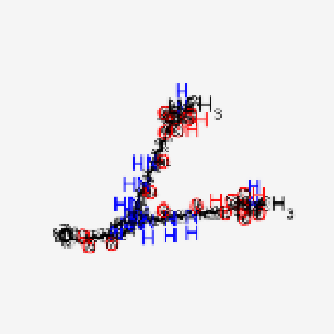 CC(=O)N[C@H]1[C@H]2OC[C@](COCCCCC(=O)NCCCNC(=O)CCNc3nc(NCCC(=O)NCCCNC(=O)CCCCOC[C@@]45CO[C@@H](O4)[C@H](NC(C)=O)[C@@H](O)[C@H]5O)nc(N4CCN(C(=O)CCCC(=O)OCc5ccccc5)CC4)n3)(O2)[C@H](O)[C@@H]1O